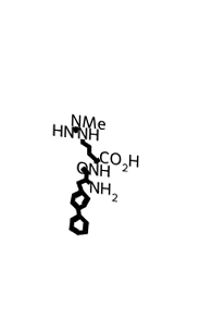 CNC(=N)NCCCC(NC(=O)C(N)Cc1ccc(-c2ccccc2)cc1)C(=O)O